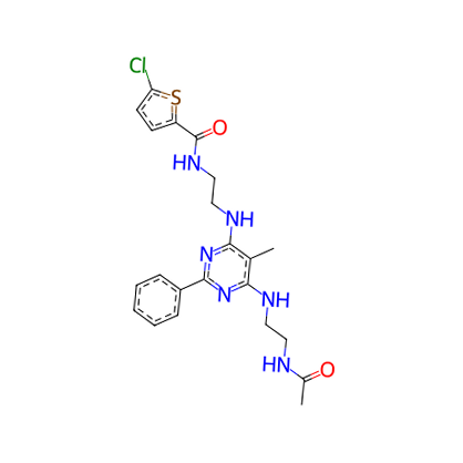 CC(=O)NCCNc1nc(-c2ccccc2)nc(NCCNC(=O)c2ccc(Cl)s2)c1C